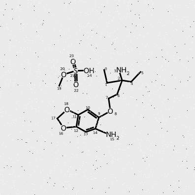 CCC(N)(CC)CCOc1cc2c(cc1N)OCO2.COS(=O)(=O)O